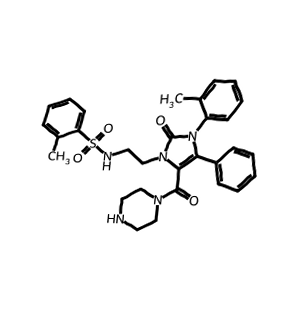 Cc1ccccc1-n1c(-c2ccccc2)c(C(=O)N2CCNCC2)n(CCNS(=O)(=O)c2ccccc2C)c1=O